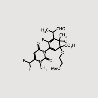 COCCOC1(C(=O)O)C=C(n2c(=O)cc(C(F)F)n(N)c2=O)C(F)=C(C(C)C=O)C1(C)Cl